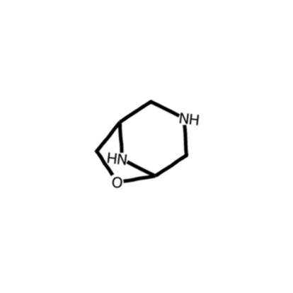 C1NCC2NC1CO2